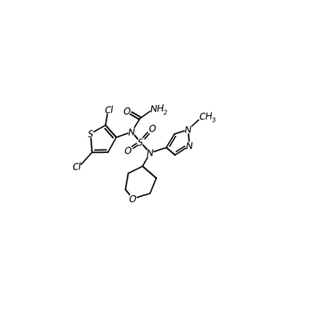 Cn1cc(N(C2CCOCC2)S(=O)(=O)N(C(N)=O)c2cc(Cl)sc2Cl)cn1